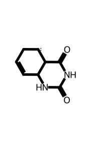 O=C1NC(=O)C2[C]CC=CC2N1